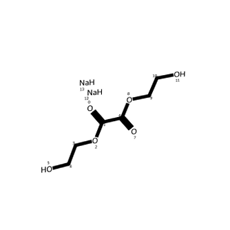 O=C(OCCO)C(=O)OCCO.[NaH].[NaH]